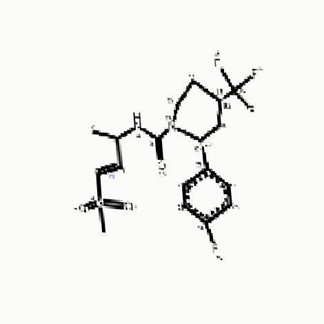 CC(/C=C/S(C)(=O)=O)NC(=O)N1CC[C@@H](C(F)(F)F)C[C@H]1c1ccc(F)cc1